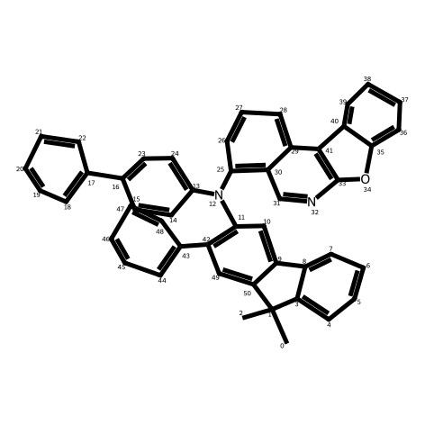 CC1(C)c2ccccc2-c2cc(N(c3ccc(-c4ccccc4)cc3)c3cccc4c3cnc3oc5ccccc5c34)c(-c3ccccc3)cc21